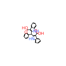 O=C(O)c1c(C(c2ccccc2)c2[nH]c3ccccc3c2C(=O)O)[nH]c2ccccc12